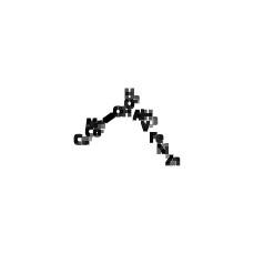 O.[AlH3].[Co].[Cu].[Fe].[Ni].[OH][Mn].[V].[Zn]